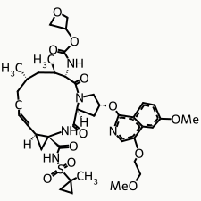 COCCOc1cnc(O[C@@H]2C[C@H]3C(=O)N[C@]4(C(=O)NS(=O)(=O)C5(C)CC5)C[C@H]4/C=C\CC[C@H](C)C[C@@H](C)[C@H](NC(=O)OC4COC4)C(=O)N3C2)c2ccc(OC)cc12